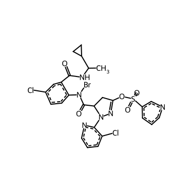 CC(NC(=O)c1cc(Cl)ccc1N(Br)C(=O)C1CC(OS(=O)(=O)c2cccnc2)=NN1c1ncccc1Cl)C1CC1